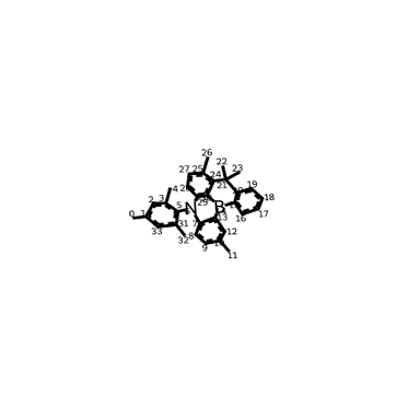 Cc1cc(C)c(N2c3ccc(C)cc3B3c4ccccc4C(C)(C)c4c(C)ccc2c43)c(C)c1